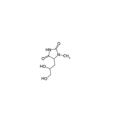 CN1C(=O)NC(=O)C1CC(O)CO